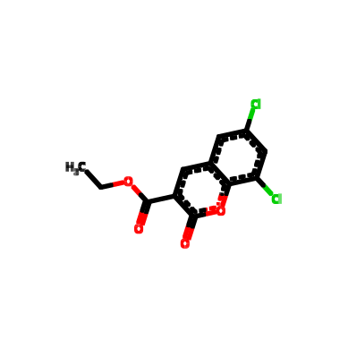 CCOC(=O)c1cc2cc(Cl)cc(Cl)c2oc1=O